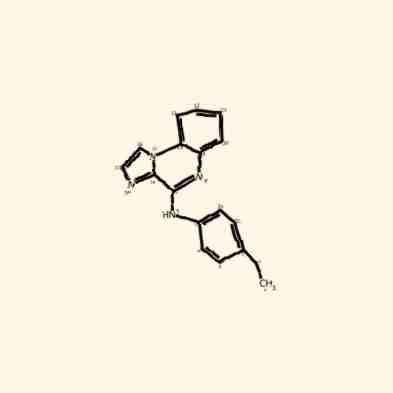 CCc1ccc(Nc2nc3ccccc3n3ccnc23)cc1